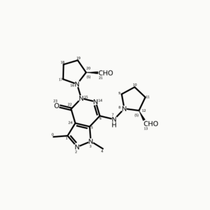 Cc1nn(C)c2c(NN3CCC[C@H]3C=O)nn(N3CCC[C@H]3C=O)c(=O)c12